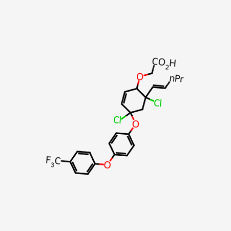 CCCC=CC1(Cl)CC(Cl)(Oc2ccc(Oc3ccc(C(F)(F)F)cc3)cc2)C=CC1OCC(=O)O